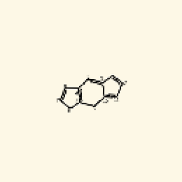 C1=CC2=CC3=C(CC=C3)CC2=C1